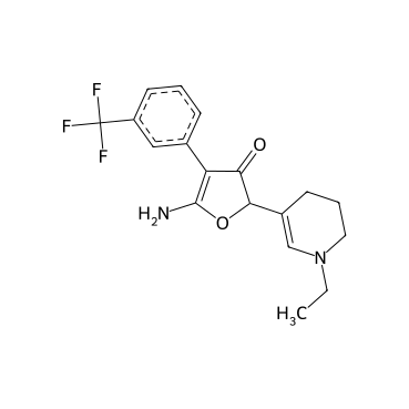 CCN1C=C(C2OC(N)=C(c3cccc(C(F)(F)F)c3)C2=O)CCC1